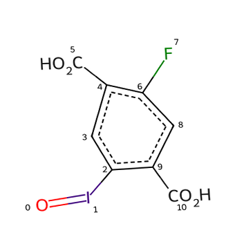 O=Ic1cc(C(=O)O)c(F)cc1C(=O)O